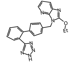 CCOc1nc2cccnc2n1Cc1ccc(-c2ccccc2-c2nn[nH]n2)cc1